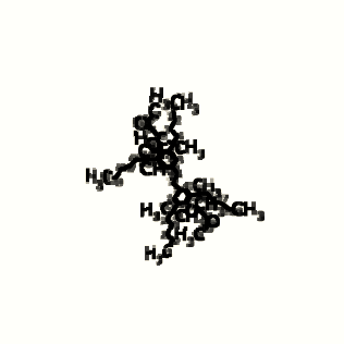 CCCCCC(C)(C)c1cc(CCc2cc(C(C)(C)CCCCC)c(OCC3OC3C)c(C(C)(C)CCCCC)c2)cc(C(C)(C)CCCCC)c1OCC1OC1C